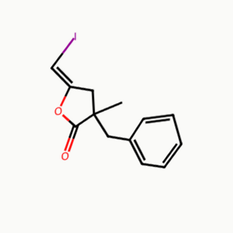 CC1(Cc2ccccc2)C/C(=C\I)OC1=O